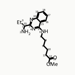 CC[C@H](N)c1nc(NCCCCCC(=O)OC)c2ccccc2n1